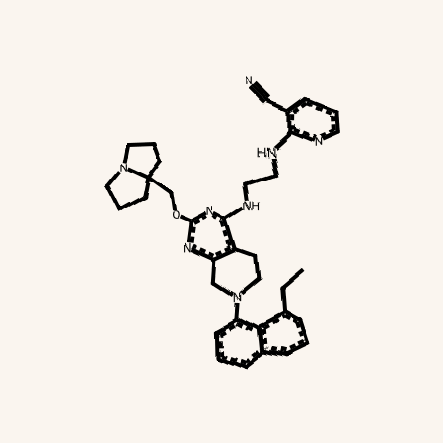 CCc1cccc2cccc(N3CCc4c(nc(OCC56CCCN5CCC6)nc4NCCNc4ncccc4C#N)C3)c12